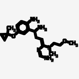 COCCN(C)C(=C/CC(N)c1cc(OC2(C)CC2)ccc1N)/N=C\N